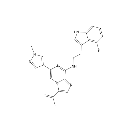 C=C(C)c1cnc2c(NCCc3c[nH]c4cccc(F)c34)nc(-c3cnn(C)c3)cn12